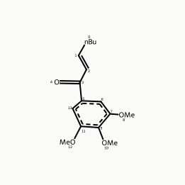 CCCC/C=C/C(=O)c1cc(OC)c(OC)c(OC)c1